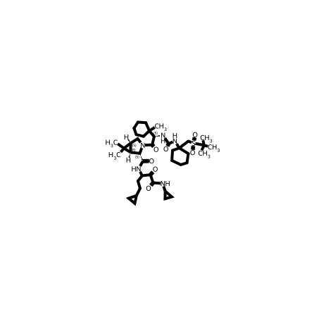 CC1([C@H](NC(=O)NC2(CS(=O)(=O)C(C)(C)C)CCCCC2)C(=O)N2C[C@H]3[C@@H]([C@H]2C(=O)NC(CCC2CC2)C(=O)C(=O)NC2CC2)C3(C)C)CCCCC1